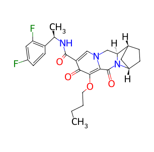 CCCCOc1c2n(cc(C(=O)N[C@H](C)c3ccc(F)cc3F)c1=O)C[C@H]1[C@@H]3CC[C@@H](C3)N1C2=O